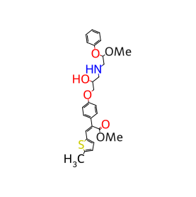 COC(=O)C(=Cc1ccc(C)s1)c1ccc(OCC(O)CNCC(OC)Oc2ccccc2)cc1